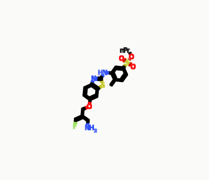 CCCOS(=O)(=O)c1ccc(C)c(Nc2nc3ccc(OC/C(=C/F)CN)cc3s2)c1